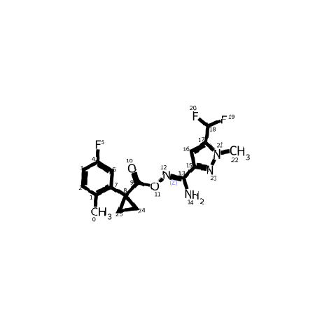 Cc1ccc(F)cc1C1(C(=O)O/N=C(\N)c2cc(C(F)F)n(C)n2)CC1